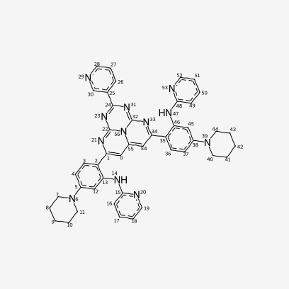 C1=C(c2ccc(N3CCCCC3)cc2Nc2ccccn2)N=C2N=C(c3cccnc3)N=C3N=C(c4ccc(N5CCCCC5)cc4Nc4ccccn4)C=C1N23